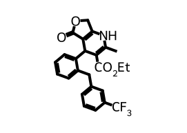 CCOC(=O)C1=C(C)NC2=C(C(=O)OC2)C1c1ccccc1Cc1cccc(C(F)(F)F)c1